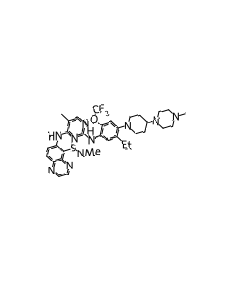 CCc1cc(Nc2ncc(C)c(Nc3ccc4nccnc4c3SNC)n2)c(OC(F)(F)F)cc1N1CCC(N2CCN(C)CC2)CC1